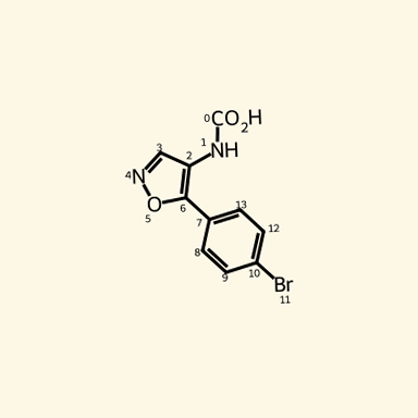 O=C(O)Nc1cnoc1-c1ccc(Br)cc1